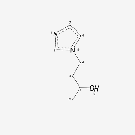 CC(O)CCn1ccnc1